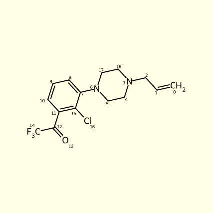 C=CCN1CCN(c2cccc(C(=O)C(F)(F)F)c2Cl)CC1